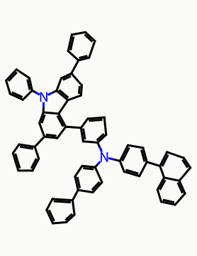 c1ccc(-c2ccc(N(c3ccc(-c4cccc5ccccc45)cc3)c3cccc(-c4cc(-c5ccccc5)cc5c4c4ccc(-c6ccccc6)cc4n5-c4ccccc4)c3)cc2)cc1